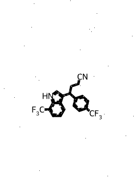 N#CCCC(c1ccc(C(F)(F)F)cc1)c1c[nH]c2c(C(F)(F)F)cccc12